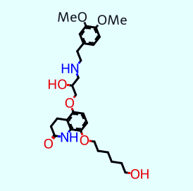 COc1ccc(CCNCC(O)COc2ccc(OCCCCCCO)c3c2CCC(=O)N3)cc1OC